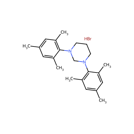 Br.Cc1cc(C)c(N2CCCN(c3c(C)cc(C)cc3C)C2)c(C)c1